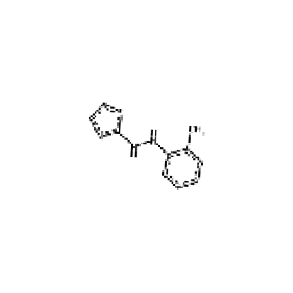 Cc1ccccc1NNc1nccs1